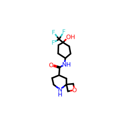 O=C(NC1CCC(O)(C(F)(F)F)CC1)C1CCNC2(COC2)C1